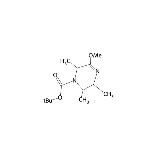 COC1=NC(C)C(C)N(C(=O)OC(C)(C)C)C1C